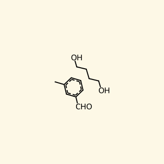 Cc1cccc(C=O)c1.OCCCCO